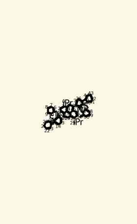 CC(C)c1cc(N(c2ccccc2)c2cccc3c4c(sc23)CCC=C4)c2ccc3c(C(C)C)cc(N(c4cccc5c4sc4ccccc45)C4C=CC=CC4C)c4ccc1c2c34